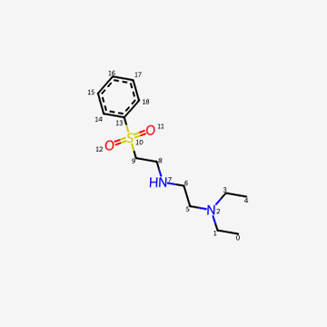 CCN(CC)CCNCCS(=O)(=O)c1ccccc1